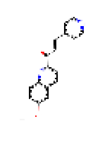 COc1ccc2nc(C(=O)C=Cc3ccncc3)ccc2c1